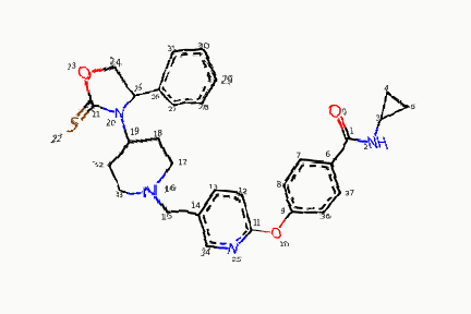 O=C(NC1CC1)c1ccc(Oc2ccc(CN3CCC(N4C(=S)OCC4c4ccccc4)CC3)cn2)cc1